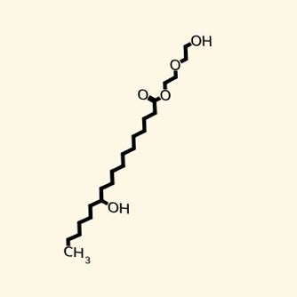 CCCCCCC(O)CCCCCCCCCCC(=O)OCCOCCO